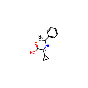 CC(N[C@H](C(=O)O)C1CC1)c1ccccc1